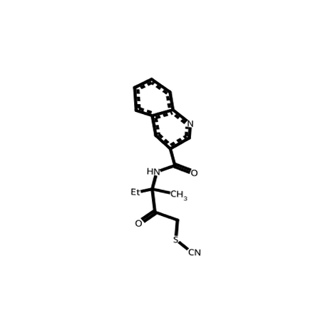 CCC(C)(NC(=O)c1cnc2ccccc2c1)C(=O)CSC#N